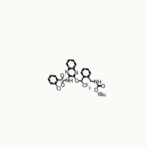 CC(C)(C)OC(=O)NCc1ccccc1C(Oc1nc2ccccc2nc1NS(=O)(=O)c1ccccc1Cl)C(F)(F)F